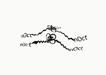 CCCCCCCCC=CCCCCCCCCOP(=O)([O-])CCCCCCCCC=CCCCCCCCC.CCCCCCCCC=CCCCCCCCCOP(=O)([O-])CCCCCCCCC=CCCCCCCCC.[Ni+2]